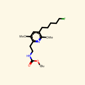 COc1cc(CCCCCF)c(OC)nc1CCNC(=O)OC(C)(C)C